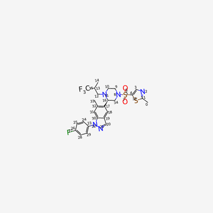 Cc1ncc(S(=O)(=O)N2CCN(CC(C)C(F)(F)F)[C@H](c3cc4cnn(-c5ccc(F)cc5)c4cc3C)C2)s1